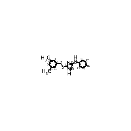 Cc1cc(C)cc(CSc2nc(Nc3ccccc3)n[nH]2)c1